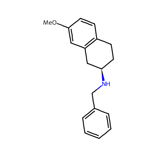 COc1ccc2c(c1)C[C@H](NCc1ccccc1)CC2